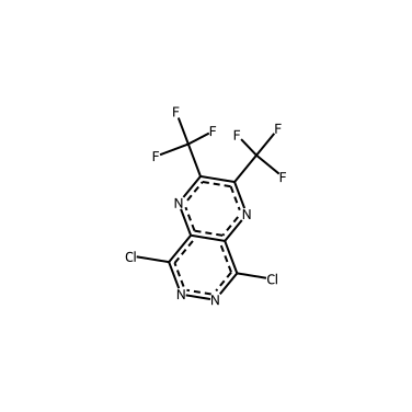 FC(F)(F)c1nc2c(Cl)nnc(Cl)c2nc1C(F)(F)F